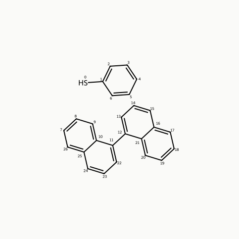 Sc1ccccc1.c1ccc2c(-c3cccc4ccccc34)cccc2c1